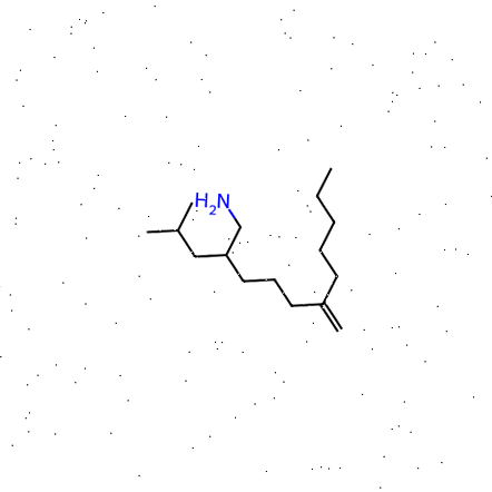 C=C(CCCCC)CCCC(CN)CC(C)C